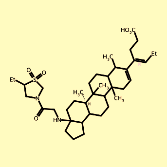 CC/C=C(\CCC(=O)O)C1=CCC2(C)C(CCC3(C)C2CCC2C4CCCC4(NCC(=O)N4CC(CC)S(=O)(=O)C4)CC[C@]23C)C1C